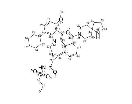 CCCS(=O)(=O)NC(=O)C1=C2Cn3c(cc4c(OC)ccc(C5CCCCC5)c43)C3C(=C21)C=CC[C@H]3C(=O)N1CCC2(CCCN2)CC1